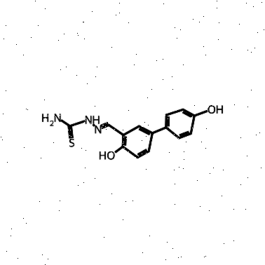 NC(=S)N/N=C/c1cc(-c2ccc(O)cc2)ccc1O